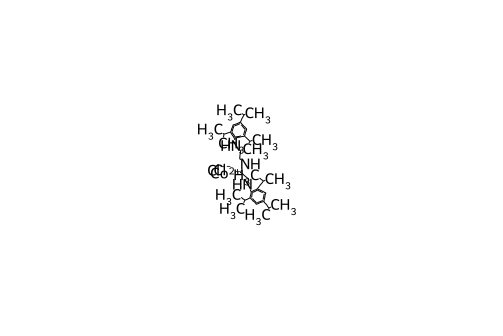 CC(C)c1cc(C(C)C)c(NCCNCCNc2c(C(C)C)cc(C(C)C)cc2C(C)C)c(C(C)C)c1.[Cl-].[Cl-].[Co+2]